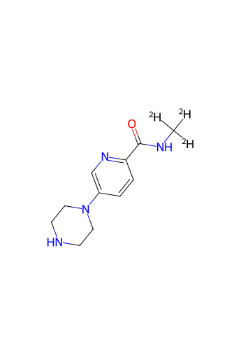 [2H]C([2H])([2H])NC(=O)c1ccc(N2CCNCC2)cn1